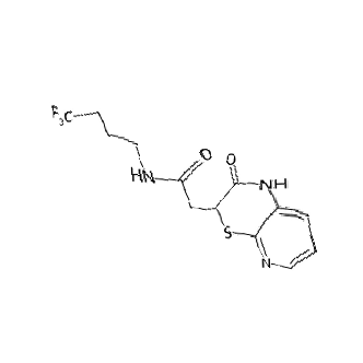 O=C(CC1Sc2ncccc2NC1=O)NCCCC(F)(F)F